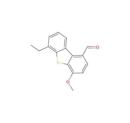 CCc1cccc2c1sc1c(OC)ccc(C=O)c12